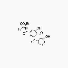 CCOC(=O)C(CC)NC(=O)c1cc(O)c2c(c1)C(=O)c1cccc(O)c1C2=O